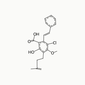 C=C(C)CCc1c(O)c(C(=O)O)c(C=Cc2ccccc2)c(Cl)c1OC